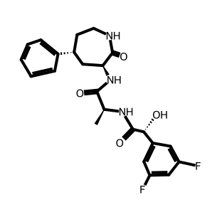 C[C@H](NC(=O)[C@H](O)c1cc(F)cc(F)c1)C(=O)N[C@H]1C[C@H](c2ccccc2)CCNC1=O